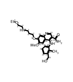 CCOCCNCCCOc1cc2ncc(C(N)=O)c(Nc3cccc(CO)c3C)c2cc1OC